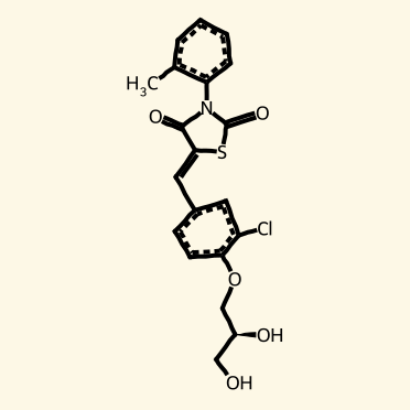 Cc1ccccc1N1C(=O)S/C(=C\c2ccc(OC[C@@H](O)CO)c(Cl)c2)C1=O